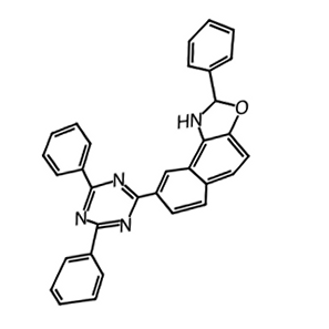 c1ccc(-c2nc(-c3ccccc3)nc(-c3ccc4ccc5c(c4c3)NC(c3ccccc3)O5)n2)cc1